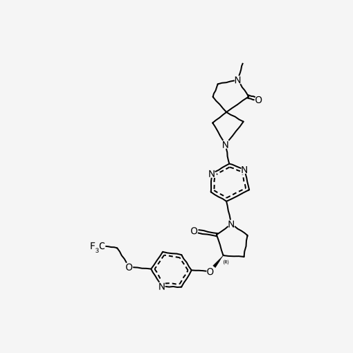 CN1CCC2(CN(c3ncc(N4CC[C@@H](Oc5ccc(OCC(F)(F)F)nc5)C4=O)cn3)C2)C1=O